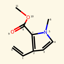 C=Cc1ccn(C)c1C(=O)OC